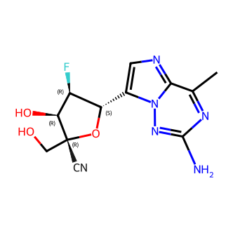 Cc1nc(N)nn2c([C@@H]3O[C@](C#N)(CO)[C@@H](O)[C@H]3F)cnc12